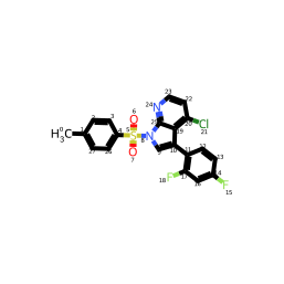 Cc1ccc(S(=O)(=O)n2cc(-c3ccc(F)cc3F)c3c(Cl)ccnc32)cc1